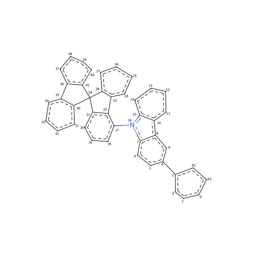 c1ccc(-c2ccc3c(c2)c2ccccc2n3-c2cccc3c2-c2ccccc2C32c3ccccc3-c3ccccc32)cc1